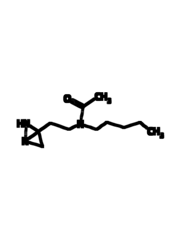 CCCCCN(CCC12CN1N2)C(C)=O